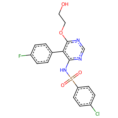 O=S(=O)(Nc1ncnc(OCCO)c1-c1ccc(F)cc1)c1ccc(Cl)cc1